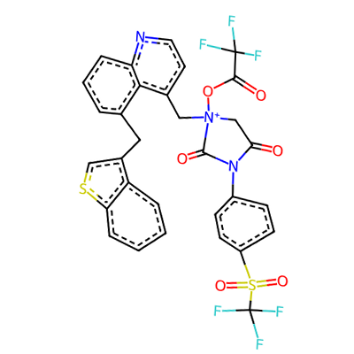 O=C1C[N+](Cc2ccnc3cccc(Cc4csc5ccccc45)c23)(OC(=O)C(F)(F)F)C(=O)N1c1ccc(S(=O)(=O)C(F)(F)F)cc1